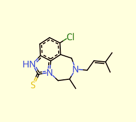 CC(C)=CCN1Cc2c(Cl)ccc3[nH]c(=S)n(c23)CC1C